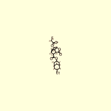 CCC1CC2CC(C1)CC(OC(=O)C1C3CC4C(OC(=O)C41)C3OC(=O)CF)C2